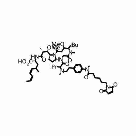 C/C=C\C=C/C(C)C[C@H](NC(=O)[C@H](C)[C@@H](OC)[C@@H]1CCCN1C(=O)CC(OC)C(C(C)CC)N(C)C(=O)CNC(=O)C(C(C)C)N(C)CCc1ccc(N(C)C(=O)CCCCCN2C(=O)C=CC2=O)cc1)C(=O)O